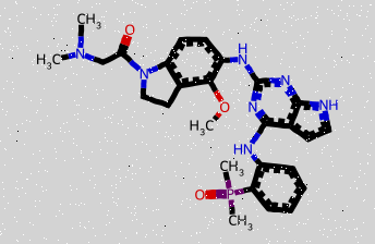 COc1c(Nc2nc(Nc3ccccc3P(C)(C)=O)c3cc[nH]c3n2)ccc2c1CCN2C(=O)CN(C)C